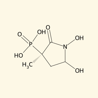 C[C@@]1(P(=O)(O)O)CC(O)N(O)C1=O